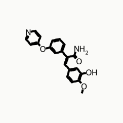 COc1ccc(C=C(C(N)=O)c2cccc(Oc3ccncc3)c2)cc1O